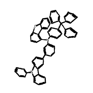 c1ccc(-n2c3ccccc3c3cc(-c4cccc(N(c5ccc(C(c6ccccc6)(c6ccccc6)c6ccccc6)cc5)c5cccc6sc7ccccc7c56)c4)ccc32)cc1